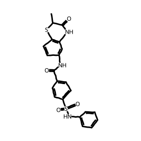 CC1Sc2ccc(NC(=O)c3ccc(S(=O)(=O)Nc4ccccc4)cc3)cc2NC1=O